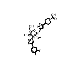 CO[C@@H]1[C@@H](n2cc(-c3ccc(C)c(F)c3)nn2)[C@@H](O)[C@@H](CO)O[C@@H]1Cc1cc(C2CCN(C(=O)O)CC2)on1